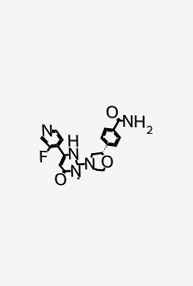 CN1C(=O)C=C(c2ccncc2F)NC1N1CCO[C@@H](c2ccc(C(N)=O)cc2)C1